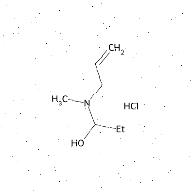 C=CCN(C)C(O)CC.Cl